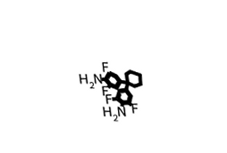 Nc1c(F)cc(C2(c3cc(F)c(N)c(F)c3)CCCCC2)cc1F